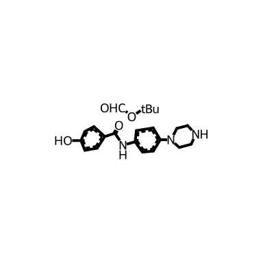 CC(C)(C)OC=O.O=C(Nc1ccc(N2CCNCC2)cc1)c1ccc(O)cc1